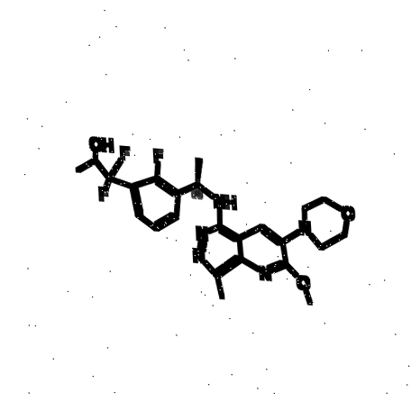 COc1nc2c(C)nnc(N[C@H](C)c3cccc(C(F)(F)C(C)O)c3F)c2cc1N1CCOCC1